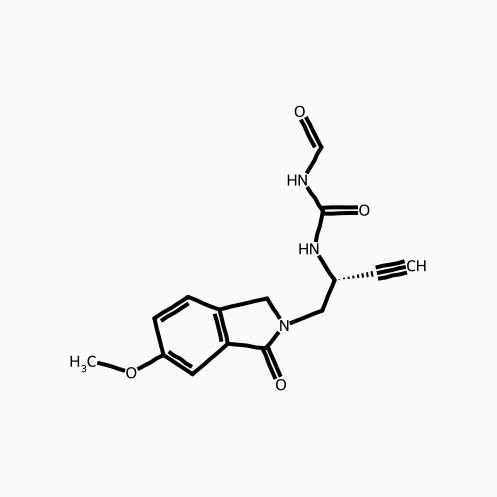 C#C[C@H](CN1Cc2ccc(OC)cc2C1=O)NC(=O)NC=O